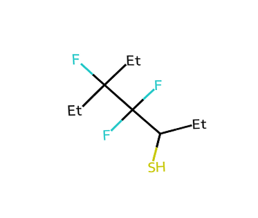 CCC(S)C(F)(F)C(F)(CC)CC